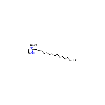 CCCCCCCC[n+]1cc[nH]c1CCCCCCCCCCCCCCC(C)C